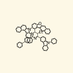 CCC1C(c2ccc3c(c2)c2ccccc2n3-c2ccccc2)=NC(c2ccc(-c3ccccc3)cc2)=NC1c1c(-n2c3cc4ccccc4cc3c3c4ccccc4ccc32)ccc2oc3cc4ccccc4cc3c12